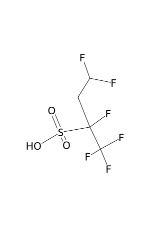 O=S(=O)(O)C(F)(CC(F)F)C(F)(F)F